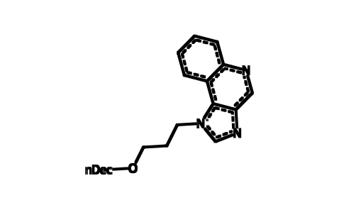 CCCCCCCCCCOCCCn1cnc2cnc3ccccc3c21